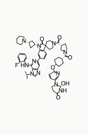 CC(C)n1cnc2cc(-c3ccc4c(c3)N([C@H]3C[C@@H](N5CCCCC5)C3)C(=O)C43CCN(C(=O)[C@@H]4CCN(C(=O)[C@H]5CC[C@H](Oc6ccc(N7CCC(=O)NC7O)cn6)CC5)C4)CC3)nc(Nc3ccccc3F)c21